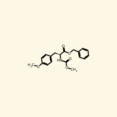 COC(=O)N[C@@H](Cc1ccc(OC)cc1)C(=O)OCc1ccccc1